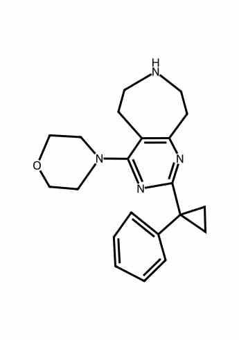 c1ccc(C2(c3nc4c(c(N5CCOCC5)n3)CCNCC4)CC2)cc1